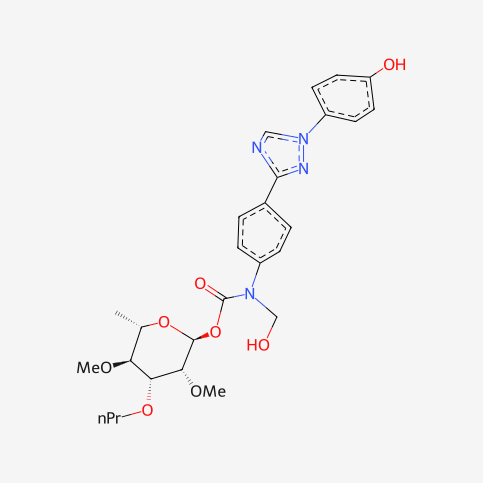 CCCO[C@@H]1[C@@H](OC)[C@H](C)O[C@@H](OC(=O)N(CO)c2ccc(-c3ncn(-c4ccc(O)cc4)n3)cc2)[C@@H]1OC